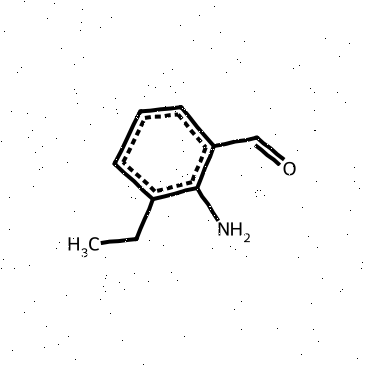 CCc1cccc(C=O)c1N